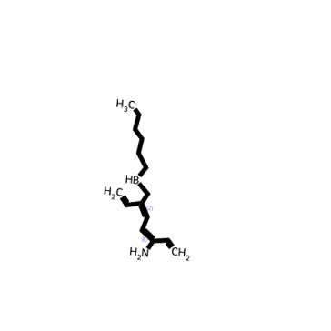 C=C/C(=C\C=C(\N)C=C)CBCCCCCC